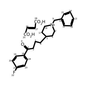 O=C(CCCC1CCN(Cc2ccccc2)CC1)c1ccc(F)cc1.O=C(O)/C=C/C(=O)O